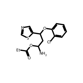 CCC(=O)OC(N)CC(Oc1ccccc1Cl)c1cncs1